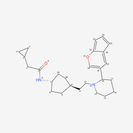 O=C(CC1CC1)N[C@H]1CC[C@H](CCN2CCCCC2c2coc3cccc-3c2)CC1